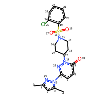 Cc1cc(C)n(-c2ccc(=O)n(C3CCN(S(=O)(=O)c4ccccc4Cl)CC3)n2)n1